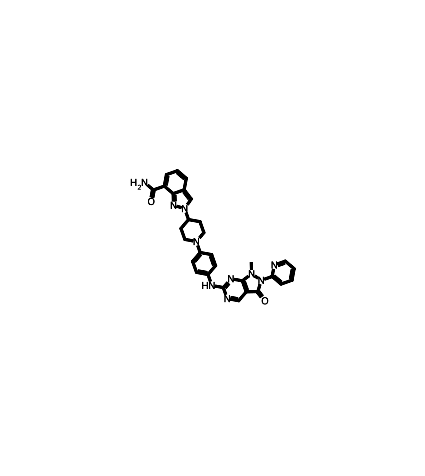 Cn1c2nc(Nc3ccc(N4CCC(n5cc6cccc(C(N)=O)c6n5)CC4)cc3)ncc2c(=O)n1-c1ccccn1